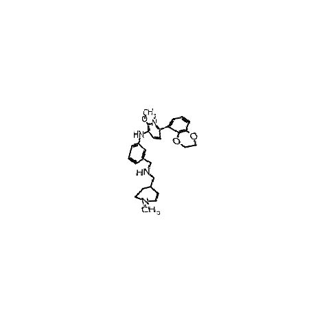 COc1nc(-c2cccc3c2OCCO3)ccc1Nc1cccc(CNCC2CCN(C)CC2)c1